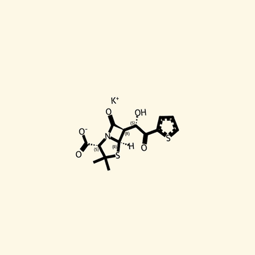 CC1(C)S[C@@H]2[C@H]([C@H](O)C(=O)c3cccs3)C(=O)N2[C@H]1C(=O)[O-].[K+]